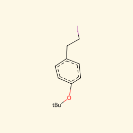 CC(C)(C)Oc1ccc(CCI)cc1